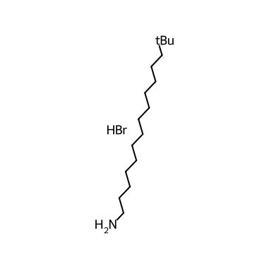 Br.CC(C)(C)CCCCCCCCCCCCCN